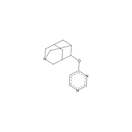 c1cc(OC2C3CC4CC2CN(C4)C3)ncn1